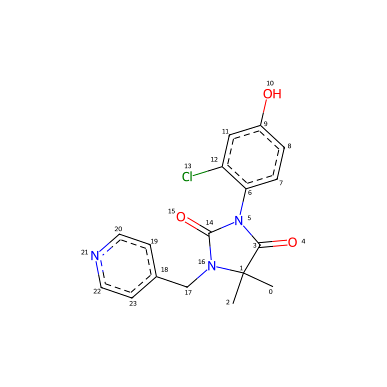 CC1(C)C(=O)N(c2ccc(O)cc2Cl)C(=O)N1Cc1ccncc1